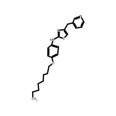 CCCCCCCCOc1ccc(Nc2nc(Cc3cccnc3)cs2)cc1